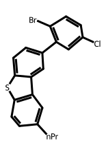 CCCc1ccc2sc3ccc(-c4cc(Cl)ccc4Br)cc3c2c1